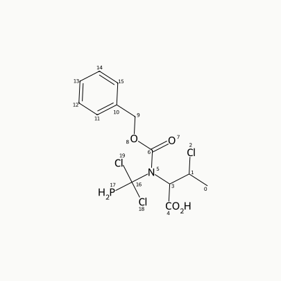 CC(Cl)C(C(=O)O)N(C(=O)OCc1ccccc1)C(P)(Cl)Cl